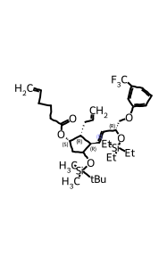 C=CCCCC(=O)O[C@H]1CC(O[Si](C)(C)C(C)(C)C)[C@H](/C=C/[C@H](COc2cccc(C(F)(F)F)c2)O[Si](CC)(CC)CC)[C@H]1CC=C